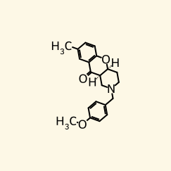 COc1ccc(CN2CC[C@@H]3Oc4ccc(C)cc4C(=O)[C@@H]3C2)cc1